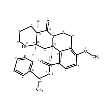 COc1ccc(C(=O)N[C@H](C)c2ccccc2)c2c1CCN1C(=O)[C@@H]3CCCN[C@@H]3C[C@H]21